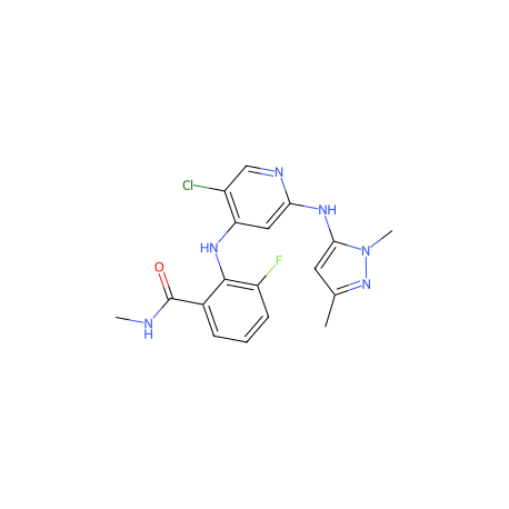 CNC(=O)c1cccc(F)c1Nc1cc(Nc2cc(C)nn2C)ncc1Cl